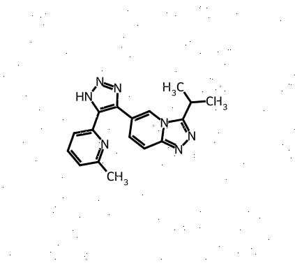 Cc1cccc(-c2[nH]nnc2-c2ccc3nnc(C(C)C)n3c2)n1